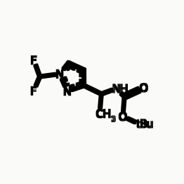 CC(NC(=O)OC(C)(C)C)c1ccn(C(F)F)n1